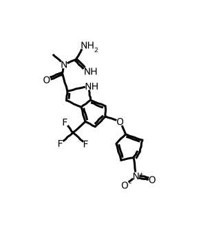 CN(C(=N)N)C(=O)c1cc2c(C(F)(F)F)cc(Oc3ccc([N+](=O)[O-])cc3)cc2[nH]1